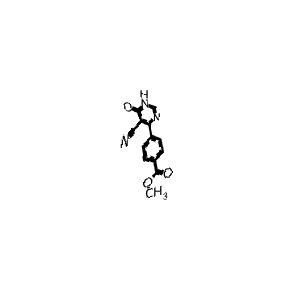 COC(=O)c1ccc(-c2nc[nH]c(=O)c2C#N)cc1